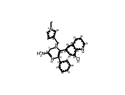 Cn1ccc(CN2CC(N)=NC(c3ccccc3)=C2c2cc(Cl)c3ncccc3c2)c1